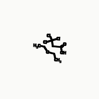 CCOCC.O=C(O)CC(Cl)(Cl)Cl